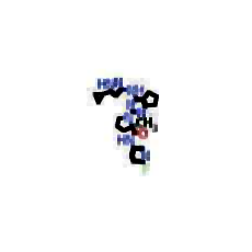 C[C@@]1(C(=O)Nc2ccc(F)nc2)CCCN1c1nc2c(c(Nc3cc(C4CC4)[nH]n3)n1)CCC2